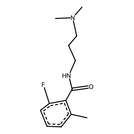 Cc1cccc(F)c1C(=O)NCCCN(C)C